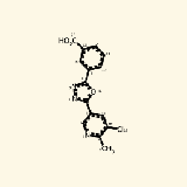 Cc1ncc(-c2nnc(-c3cccc(C(=O)O)c3)o2)cc1Cl